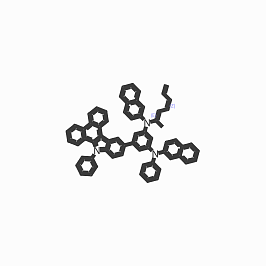 C=C/C=C\C=C(/C)N(c1cc(-c2ccc3c(c2)c2c4ccccc4c4ccccc4c2n3-c2ccccc2)cc(N(c2ccccc2)c2ccc3ccccc3c2)c1)c1ccc2ccccc2c1